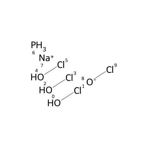 OCl.OCl.OCl.P.[Na+].[O-]Cl